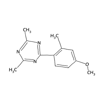 COc1ccc(-c2nc(C)nc(C)n2)c(C)c1